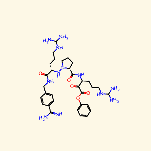 N=C(N)c1ccc(CNC(=O)[C@H](CCCNC(N)N)NN2CCC[C@H]2C(=O)N[C@@H](CCCNC(N)N)C(=O)C(=O)Oc2ccccc2)cc1